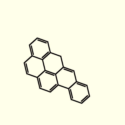 c1ccc2c(c1)cc1c3c2ccc2ccc4cccc(c4c23)C1